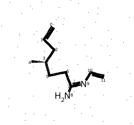 C=CC[C@H](C)CC/C(N)=N\C=C